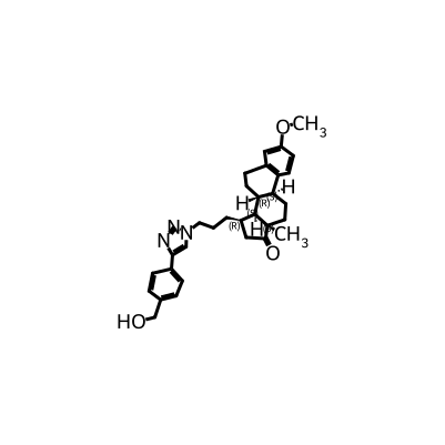 COc1ccc2c(c1)CC[C@H]1[C@@H]3[C@H](CCCn4cc(-c5ccc(CO)cc5)nn4)CC(=O)[C@@]3(C)CC[C@H]21